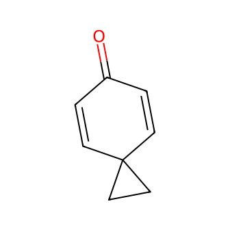 O=C1C=CC2(C=C1)CC2